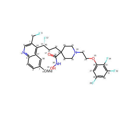 COc1ccc2ncc(CF)c([C@H](F)CCC3(C(=O)NO)CCN(CCOc4cc(F)cc(F)c4F)CC3)c2c1